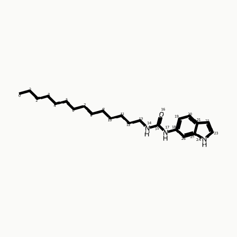 CCCCCCCCCCCCCCNC(=O)Nc1ccc2cc[nH]c2c1